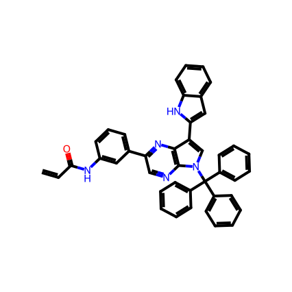 C=CC(=O)Nc1cccc(-c2cnc3c(n2)c(-c2cc4ccccc4[nH]2)cn3C(c2ccccc2)(c2ccccc2)c2ccccc2)c1